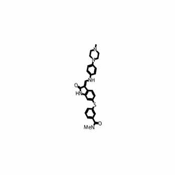 CNC(=O)c1cccc(Sc2ccc3c(c2)NC(=O)/C3=C/Nc2ccc(N3CCN(C)CC3)cc2)c1